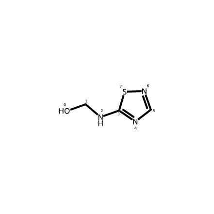 OCNc1ncns1